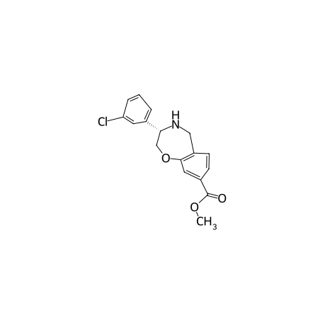 COC(=O)c1ccc2c(c1)OC[C@H](c1cccc(Cl)c1)NC2